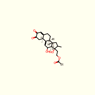 CCC(=O)OCC[C@@]1(O)C(C)C[C@H]2[C@@H]3CCC4=CC(=O)C(=O)C[C@]4(C)C3=CC(O)[C@@]21C